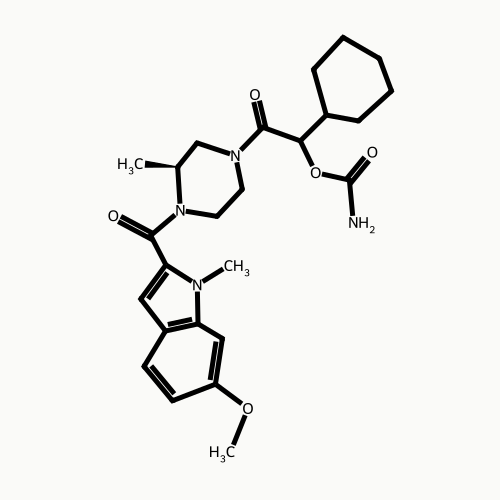 COc1ccc2cc(C(=O)N3CCN(C(=O)C(OC(N)=O)C4CCCCC4)C[C@@H]3C)n(C)c2c1